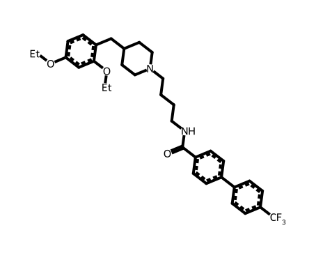 CCOc1ccc(CC2CCN(CCCCNC(=O)c3ccc(-c4ccc(C(F)(F)F)cc4)cc3)CC2)c(OCC)c1